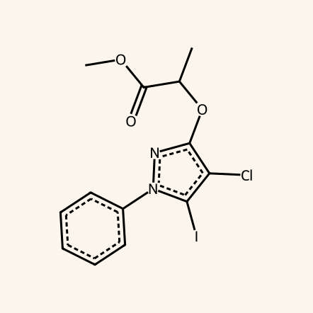 COC(=O)C(C)Oc1nn(-c2ccccc2)c(I)c1Cl